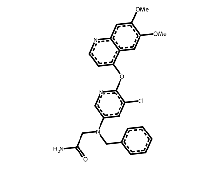 COc1cc2nccc(Oc3ncc(N(CC(N)=O)Cc4ccccc4)cc3Cl)c2cc1OC